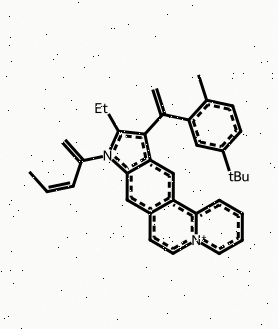 C=C(c1cc(C(C)(C)C)ccc1C)c1c(CC)n(C(=C)/C=C\C)c2cc3cc[n+]4ccccc4c3cc12